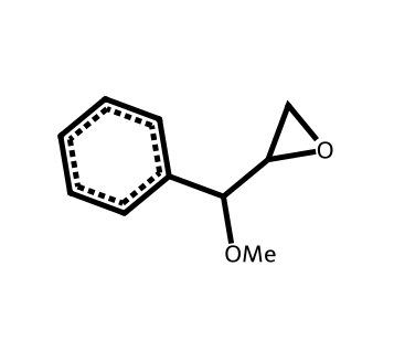 COC(c1ccccc1)C1CO1